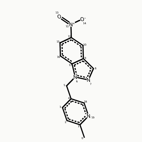 Cc1ccc(Cn2ncc3cc([N+](=O)[O-])ccc32)cn1